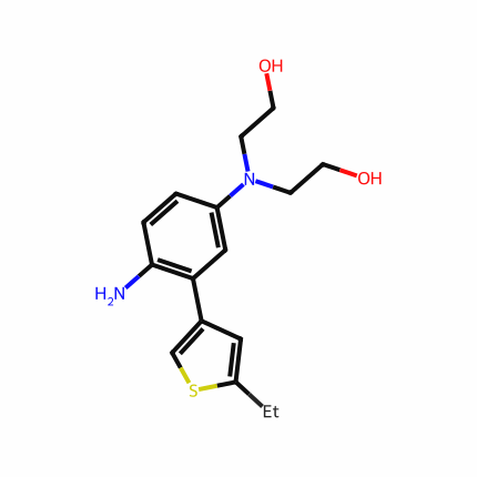 CCc1cc(-c2cc(N(CCO)CCO)ccc2N)cs1